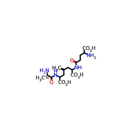 C=C(CC(NC(=O)CCC(N)C(=O)O)C(=O)O)CC(NC(=O)[C@H](C)N)C(=O)O